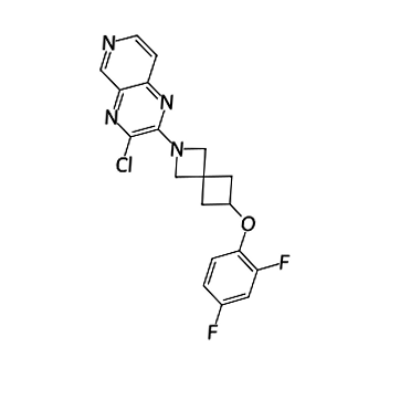 Fc1ccc(OC2CC3(C2)CN(c2nc4ccncc4nc2Cl)C3)c(F)c1